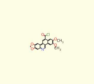 COc1cc2c(C(=O)Cl)cc3c4cc5c(cc4ncc3c2cc1OC)OCO5